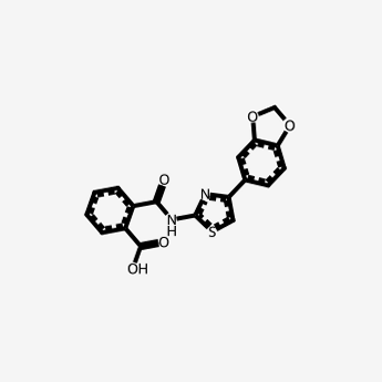 O=C(O)c1ccccc1C(=O)Nc1nc(-c2ccc3c(c2)OCO3)cs1